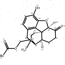 CC(C)(C)C(=O)OC[N+]1(C)CC[C@]23c4c5ccc(O)c4O[C@H]2C(=O)CC[C@H]3C1C5